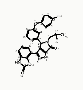 CC(F)(F)CN1C(=O)c2[nH]nc(-c3cccc4[nH]c(=O)oc34)c2C1c1cc(Oc2ccc(F)cc2)ccn1